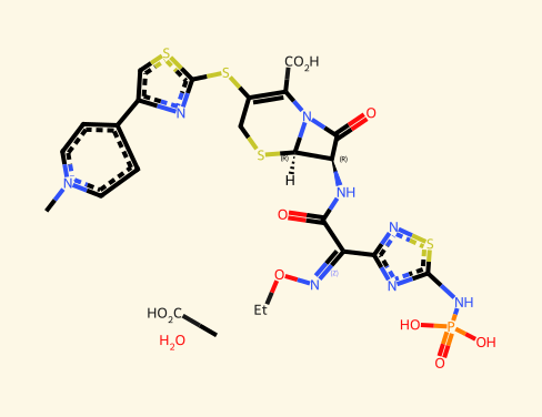 CC(=O)O.CCO/N=C(\C(=O)N[C@@H]1C(=O)N2C(C(=O)O)=C(Sc3nc(-c4cc[n+](C)cc4)cs3)CS[C@H]12)c1nsc(NP(=O)(O)O)n1.O